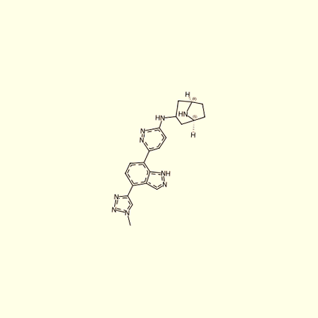 Cn1cc(-c2ccc(-c3ccc(NC4C[C@H]5CC[C@@H](C4)N5)nn3)c3[nH]ncc23)nn1